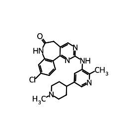 Cc1ncc(C2CCN(C)CC2)cc1Nc1ncc2c(n1)-c1ccc(Cl)cc1NC(=O)C2